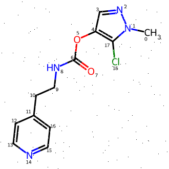 Cn1ncc(OC(=O)NCCc2ccncc2)c1Cl